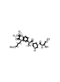 CCOC[C@H](NC(=O)[C@@H]1CNC[C@H](C(=O)N(c2ccc3c(c2)N(CCCOC)C(=O)C(C)(C)O3)C(C)C)C1)C(C)C